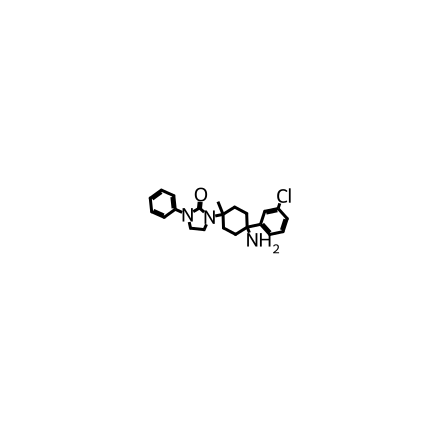 CC1(N2CCN(c3ccccc3)C2=O)CCC(N)(c2cccc(Cl)c2)CC1